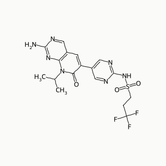 CC(C)n1c(=O)c(-c2cnc(NS(=O)(=O)CCC(F)(F)F)nc2)cc2cnc(N)nc21